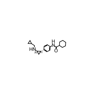 O=C(Nc1ccc([C@@H]2C[C@H]2NCC2CC2)cc1)C1CCCCC1